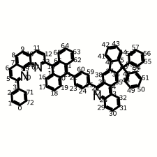 c1ccc(-c2ccc3ccc4ccc(-c5c6ccccc6c(-c6ccc(-c7nc8ccccc8c8cc9c(cc78)-c7ccccc7C9(c7ccccc7)c7ccccc7)cc6)c6ccccc56)nc4c3n2)cc1